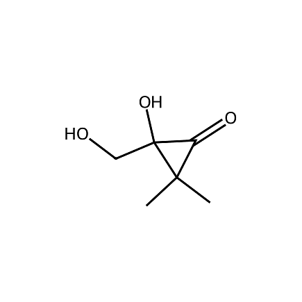 CC1(C)C(=O)C1(O)CO